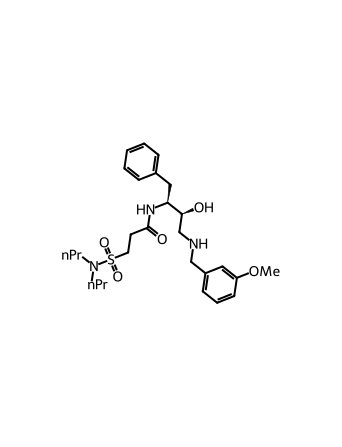 CCCN(CCC)S(=O)(=O)CCC(=O)N[C@@H](Cc1ccccc1)[C@@H](O)CNCc1cccc(OC)c1